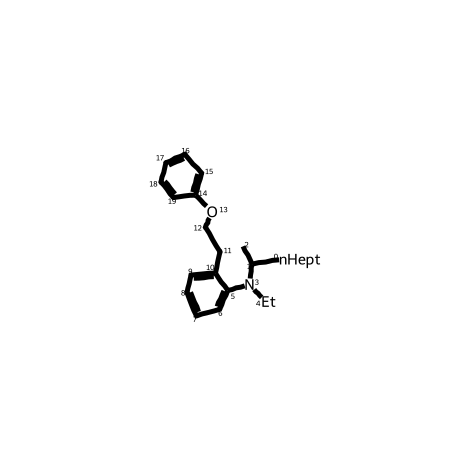 CCCCCCCC(C)N(CC)c1ccccc1CCOc1ccccc1